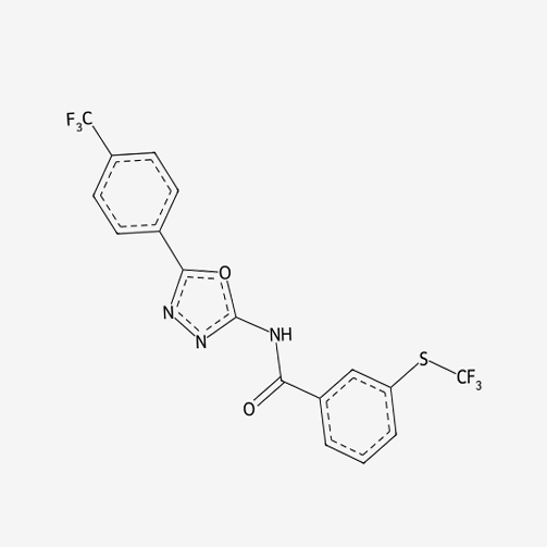 O=C(Nc1nnc(-c2ccc(C(F)(F)F)cc2)o1)c1cccc(SC(F)(F)F)c1